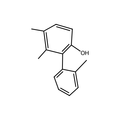 Cc1ccccc1-c1c(O)ccc(C)c1C